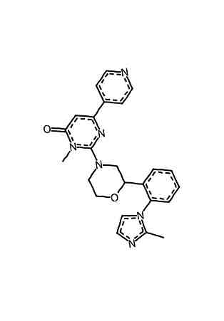 Cc1nccn1-c1ccccc1C1CN(c2nc(-c3ccncc3)cc(=O)n2C)CCO1